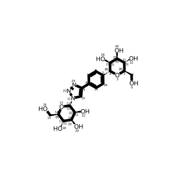 OC[C@H]1O[C@H](c2ccc(-c3cn([C@H]4O[C@H](CO)[C@@H](O)[C@H](O)[C@@H]4O)nn3)cc2)[C@@H](O)[C@@H](O)[C@@H]1O